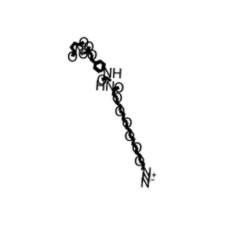 [N-]=[N+]=NCCOCCOCCOCCOCCOCCOCC(=O)NCC(=O)Nc1ccc(COC(=O)ON2C(=O)CCC2=O)cc1